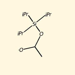 CC([O])O[Si](C(C)C)(C(C)C)C(C)C